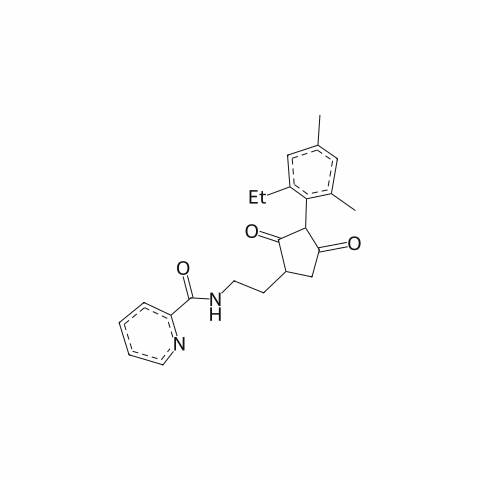 CCc1cc(C)cc(C)c1C1C(=O)CC(CCNC(=O)c2ccccn2)C1=O